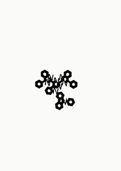 c1ccc(-c2nc(-c3nc(-c4nc(-c5ccccc5)c5ccccc5n4)c4c5ccccc5n(-c5ccc6c(c5)c5ccccc5n6-c5ccccc5)c4n3)nc3ccccc23)cc1